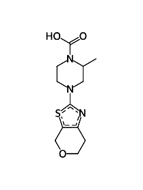 CC1CN(c2nc3c(s2)COCC3)CCN1C(=O)O